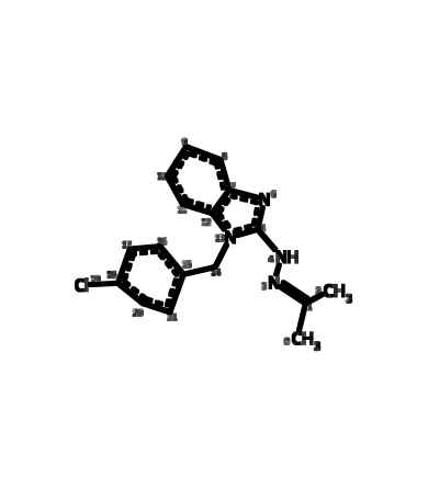 CC(C)=NNc1nc2ccccc2n1Cc1ccc(Cl)cc1